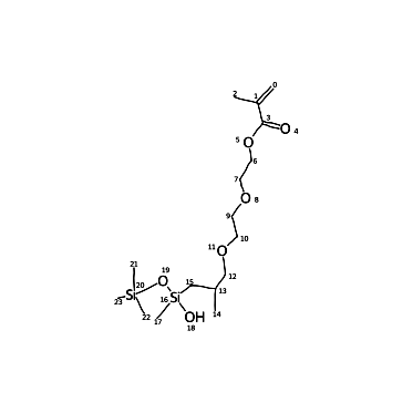 C=C(C)C(=O)OCCOCCOCC(C)C[Si](C)(O)O[Si](C)(C)C